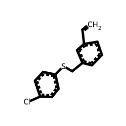 C=Cc1cccc(CSc2ccc(Cl)cc2)c1